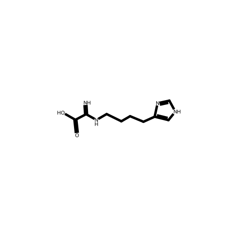 N=C(NCCCCc1c[nH]cn1)C(=O)O